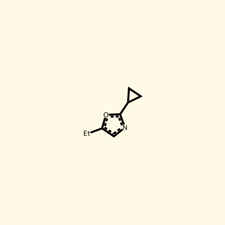 CCc1cnc(C2CC2)o1